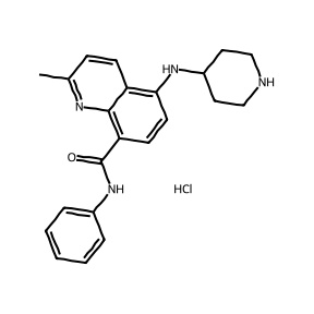 Cc1ccc2c(NC3CCNCC3)ccc(C(=O)Nc3ccccc3)c2n1.Cl